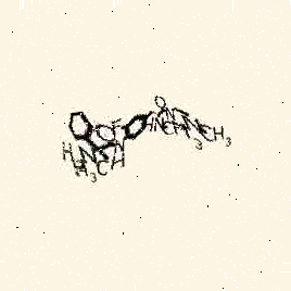 CC[C@](N)(C(=O)Nc1ccc(C[C@@H](NC)C(=O)N2CCN(C)CC2)cc1F)C1CCCCC1